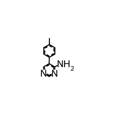 Cc1ccc(-c2cncnc2N)cc1